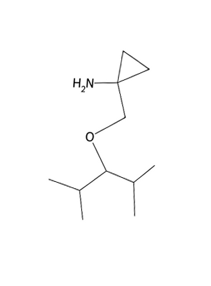 CC(C)C(OCC1(N)CC1)C(C)C